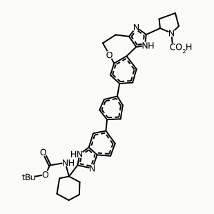 CC(C)(C)OC(=O)NC1(c2nc3ccc(-c4ccc(-c5ccc6c(c5)OCCc5nc(C7CCCN7C(=O)O)[nH]c5-6)cc4)cc3[nH]2)CCCCC1